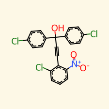 O=[N+]([O-])c1cccc(Cl)c1C#CC(O)(c1ccc(Cl)cc1)c1ccc(Cl)cc1